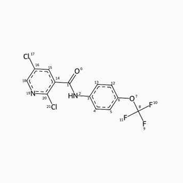 O=C(Nc1ccc(OC(F)(F)F)cc1)c1cc(Cl)cnc1Cl